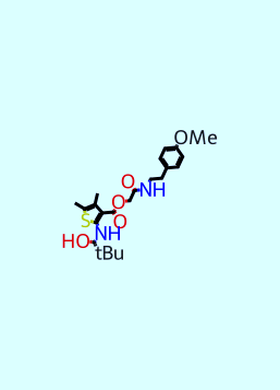 COc1ccc(CCNC(=O)COC(=O)c2c(NC(O)C(C)(C)C)sc(C)c2C)cc1